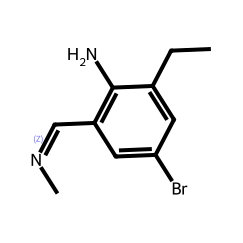 CCc1cc(Br)cc(/C=N\C)c1N